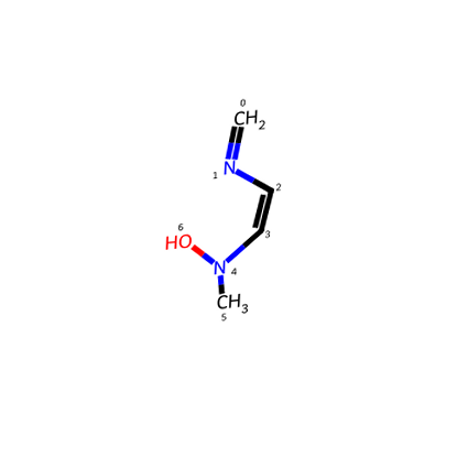 C=N/C=C\N(C)O